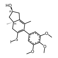 COc1cc(C2=C(SI)C[C@@]3(C)C[C@@H](O)CC3=C2C)cc(OC)c1OC